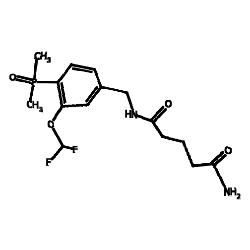 CP(C)(=O)c1ccc(CNC(=O)CCCC(N)=O)cc1OC(F)F